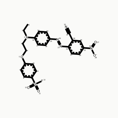 CCN(CCOc1ccc(S(=O)(=O)F)cc1)c1ccc(N=Nc2ccc([N+](=O)[O-])cc2C#N)cc1